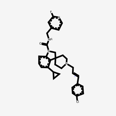 O=C(NCc1ccnc(F)c1)N1CC2(CCN(C/C=C/c3ccc(Cl)cc3)CC2)c2c(C3CC3)cccc21